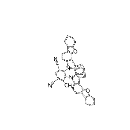 Cc1c(C#N)cc(C#N)c(-n2c3ccccc3c3c4oc5ccccc5c4ccc32)c1-n1c2ccccc2c2c3oc4ccccc4c3ccc21